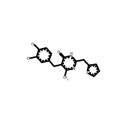 O=c1[nH]c(Cc2cccs2)nc(C(F)(F)F)c1Cc1ccc(Cl)c(Cl)c1